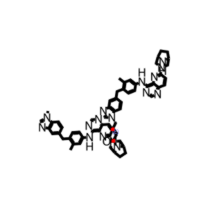 Cc1cc(Nc2ncnc3ccc(N4CC5CCC(C4)N5)nc23)ccc1Cc1ccc2c(c1)ncn2C/C=C/C(=O)N1C2CCC1CN(c1ccc3ncnc(Nc4ccc(Cc5ccc6c(c5)ncn6C)c(C)c4)c3n1)C2